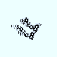 COC(=O)c1cccc(NC(=S)NC2CCN(c3nncc4cc(Br)ccc34)CC2)c1.FC(F)(F)Oc1ccccc1NC(=S)NC1CCN(c2nncc3cc(Br)ccc23)CC1